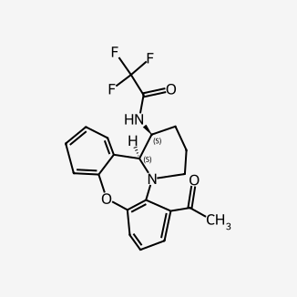 CC(=O)c1cccc2c1N1CCC[C@H](NC(=O)C(F)(F)F)[C@@H]1c1ccccc1O2